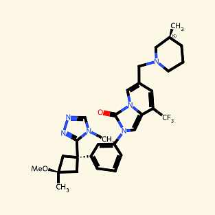 CO[C@]1(C)C[C@](c2cccc(-n3cc4c(C(F)(F)F)cc(CN5CCC[C@H](C)C5)cn4c3=O)c2)(c2nncn2C)C1